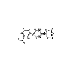 CC(C)c1cccc(-c2cnc(N3CCOCC3)nc2)c1